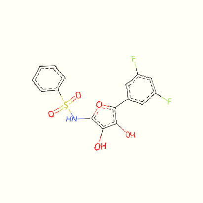 O=S(=O)(Nc1oc(-c2cc(F)cc(F)c2)c(O)c1O)c1ccccc1